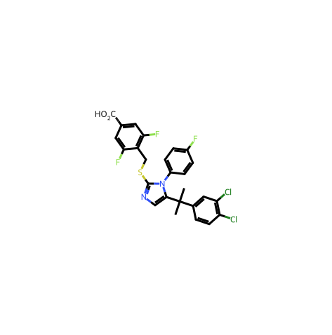 CC(C)(c1ccc(Cl)c(Cl)c1)c1cnc(SCc2c(F)cc(C(=O)O)cc2F)n1-c1ccc(F)cc1